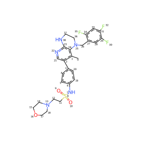 Cc1c(-c2ccc(NS(=O)(=O)CCN3CCOCC3)cc2)cnc2c1N(Cc1cc(F)c(F)cc1F)CCN2